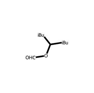 CCC(C)C(OC=O)C(C)CC